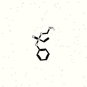 C=CP(=O)(OCN)Oc1ccccc1